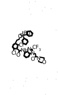 CC(C)(C)[Si](OCCc1ccc(Cl)c(C(=O)Nc2cccc3c2nc(C(F)(F)F)n3CC(=O)N2CCOCC2)c1Cl)(c1ccccc1)c1ccccc1